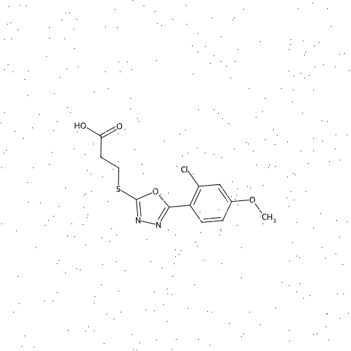 COc1ccc(-c2nnc(SCCC(=O)O)o2)c(Cl)c1